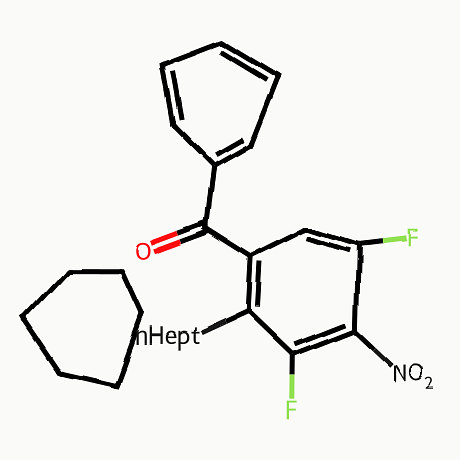 C1CCCCC1.CCCCCCCc1c(C(=O)c2ccccc2)cc(F)c([N+](=O)[O-])c1F